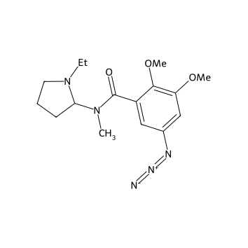 CCN1CCCC1N(C)C(=O)c1cc(N=[N+]=[N-])cc(OC)c1OC